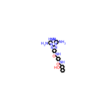 N[C@@H]1C[C@H](N)CN(c2nc3ccc(NC(=O)c4ccc(NC(=O)c5ccc6ccccc6c5O)cc4)cc3nc2N2C[C@H](N)C[C@H](N)C2)C1